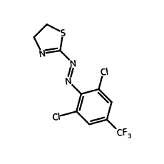 FC(F)(F)c1cc(Cl)c(N=NC2=NCCS2)c(Cl)c1